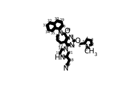 CN1CCCC1COc1nc2c(c(N3CCNC(CC#N)C3)n1)CCCN(c1cccc3ccccc13)C2=O